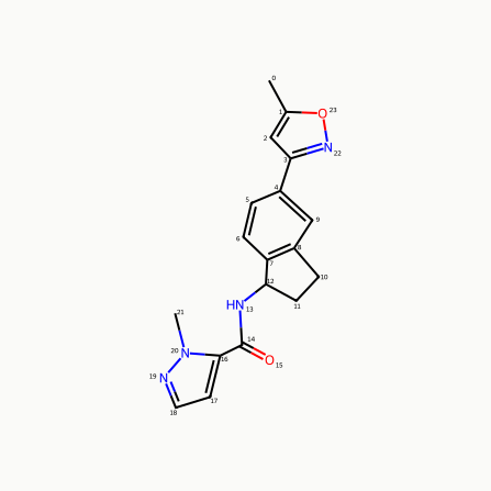 Cc1cc(-c2ccc3c(c2)CCC3NC(=O)c2ccnn2C)no1